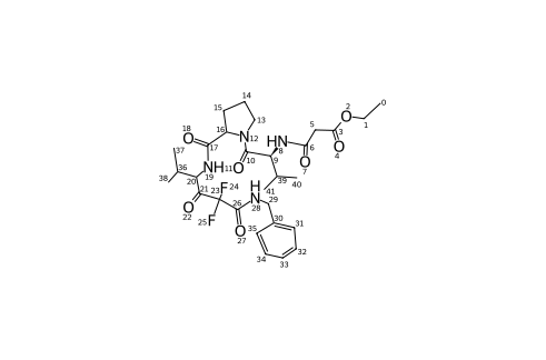 CCOC(=O)CC(=O)N[C@H](C(=O)N1CCCC1C(=O)NC(C(=O)C(F)(F)C(=O)NCc1ccccc1)C(C)C)C(C)C